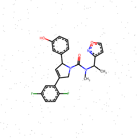 CC(c1ccon1)N(C)C(=O)N1CC(c2cc(F)ccc2F)=CC1c1cccc(O)c1